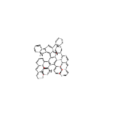 c1ccc(-c2ccc3cc4ccccc4cc3c2-c2c3c(c(-c4cccc5cc6ccccc6cc45)c(-c4ccccn4)c2-c2ccccc2)-c2c4c(cc(-c5ccccc5)c2=N3)=c2ccccc2=N4)cc1